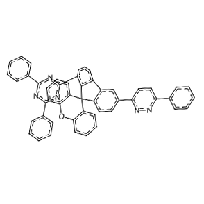 c1ccc(-c2ccc(-c3ccc4c(c3)-c3cccc(-c5nc(-c6ccccc6)nc(-c6ccccc6)n5)c3C43c4ccccc4Oc4ccccc43)nn2)cc1